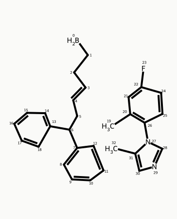 BCCC=CCC(c1ccccc1)c1ccccc1.Cc1cc(F)ccc1-n1cncc1C